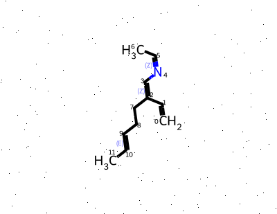 C=C/C(=C\N=C/C)CC/C=C/C